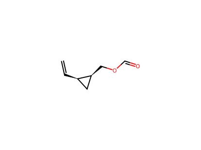 C=C[C@@H]1C[C@@H]1COC=O